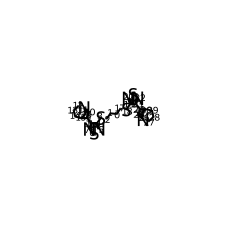 C(CCSc1nsnc1C1CN2CCCC1C2)CSc1nsnc1C1CN2CCCC1C2